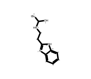 CC(C)(C)C(O)NCCc1nc2ccccc2[nH]1